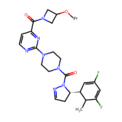 CC(C)OC1CN(C(=O)c2ccnc(N3CCN(C(=O)N4N=CC[C@H]4C4C=C(F)C=C(F)C4C)CC3)n2)C1